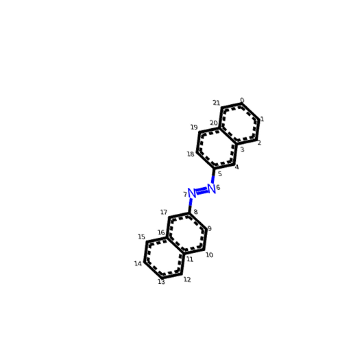 c1ccc2cc(/N=N/c3ccc4ccccc4c3)ccc2c1